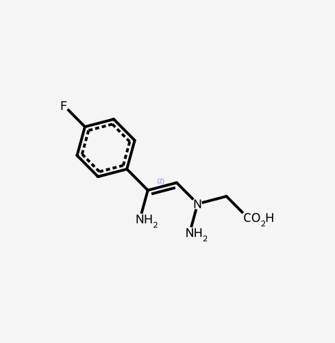 N/C(=C\N(N)CC(=O)O)c1ccc(F)cc1